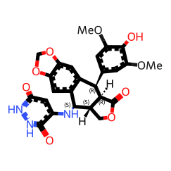 COc1cc([C@@H]2c3cc4c(cc3[C@@H](Nc3cc(=O)[nH][nH]c3=O)[C@H]3COC(=O)[C@H]23)OCO4)cc(OC)c1O